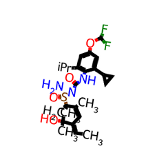 C=C(/C(C)=C\C(=C/C)C(C)(C)O)[S@@](N)(=O)=NC(=O)Nc1c(C(C)C)cc(OC(F)F)cc1C1CC1